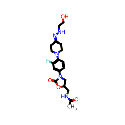 CC(=O)NCC1CN(c2ccc(N3CCC(=NNCCO)CC3)c(F)c2)C(=O)O1